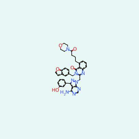 Nc1ncnc2c1c(-c1cccc(O)c1)nn2Cc1nc2cccc(CCCC(=O)N3CCOCC3)c2c(=O)n1Cc1ccc2occc2c1